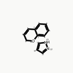 C1=Cc2ccccc2OC1.c1cn[nH]c1